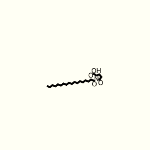 CCCCCCCCCCCCCCCCCC(=O)N1C(=O)CCC1C(=O)O